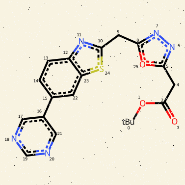 CC(C)(C)OC(=O)Cc1nnc(Cc2nc3ccc(-c4cncnc4)cc3s2)o1